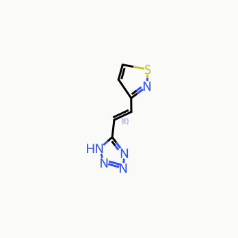 C(=C\c1nnn[nH]1)/c1ccsn1